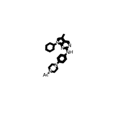 CC(=O)N1CCN(c2ccc(Nc3ncc4c(C)cn(C5CCCCC5)c4n3)cc2)CC1